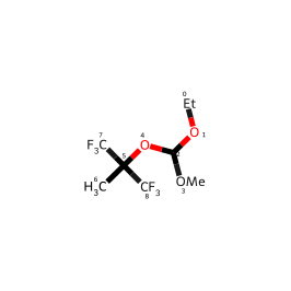 CCOC(OC)OC(C)(C(F)(F)F)C(F)(F)F